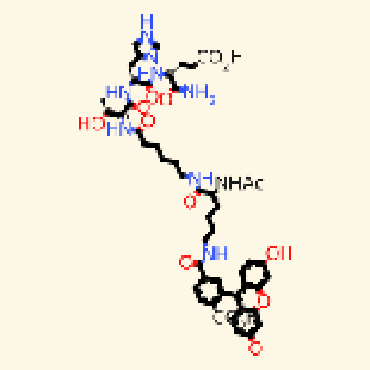 CC(=O)N[C@H](CCCCNC(=O)c1ccc(C(=O)O)c(-c2c3ccc(=O)cc-3oc3cc(O)ccc23)c1)C(=O)NCCCCCC(=O)N[C@@H](C(=O)N[C@H](Cc1c[nH]cn1)C(=O)N[C@H](CCC(=O)O)C(N)=O)[C@H](C)O